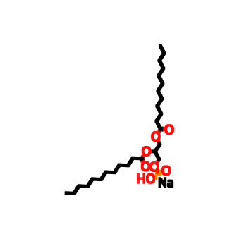 CCCCCCCCCCCC(=O)OCC(CO[P](=O)(O)[Na])OC(=O)CCCCCCCCCCC